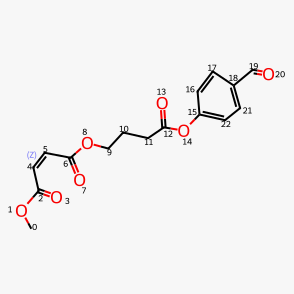 COC(=O)/C=C\C(=O)OCCCC(=O)Oc1ccc(C=O)cc1